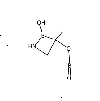 CC1(OB=O)CNB1O